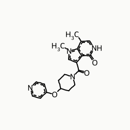 Cc1c[nH]c(=O)c2c(C(=O)N3CCC(Oc4ccncc4)CC3)cn(C)c12